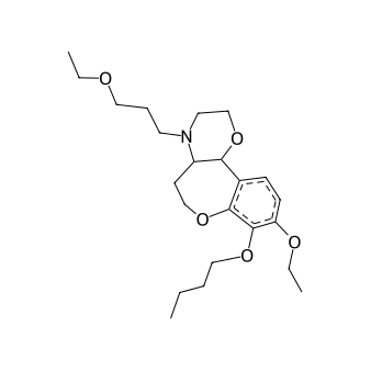 CCCCOc1c(OCC)ccc2c1OCCC1C2OCCN1CCCOCC